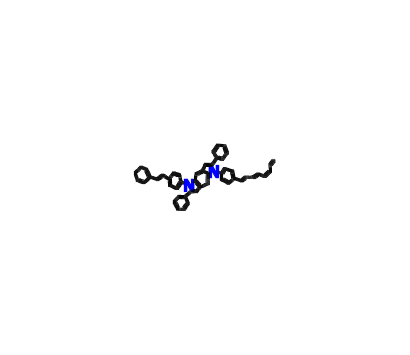 C=C\C=C/C=C/C=C/c1ccc(-n2c(-c3ccccc3)cc3cc4c(cc(-c5ccccc5)n4-c4ccc(/C=C/C5=CCCC=C5)cc4)cc32)cc1